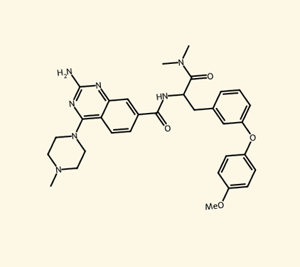 COc1ccc(Oc2cccc(CC(NC(=O)c3ccc4c(N5CCN(C)CC5)nc(N)nc4c3)C(=O)N(C)C)c2)cc1